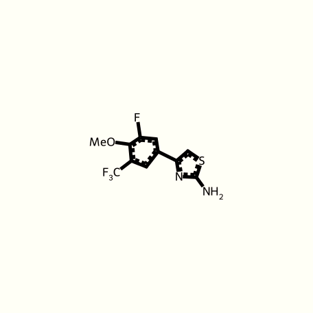 COc1c(F)cc(-c2csc(N)n2)cc1C(F)(F)F